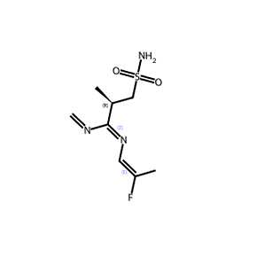 C=N/C(=N\C=C(/C)F)[C@@H](C)CS(N)(=O)=O